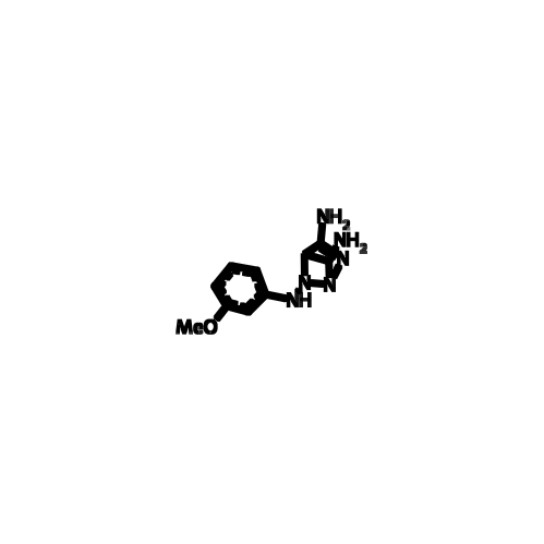 COc1cccc(NN2C3C(N)=NN2C3N)c1